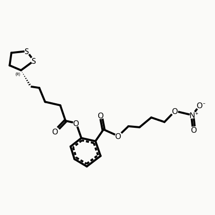 O=C(CCCC[C@@H]1CCSS1)Oc1ccccc1C(=O)OCCCCO[N+](=O)[O-]